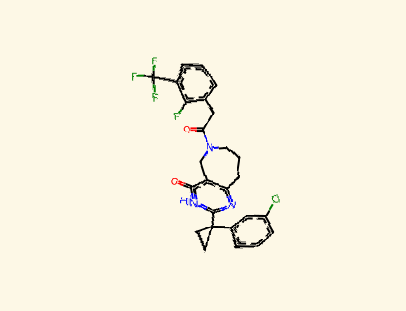 O=C(Cc1cccc(C(F)(F)F)c1F)N1CCCc2nc(C3(c4cccc(Cl)c4)CC3)[nH]c(=O)c2C1